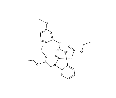 CCOC(=O)C[C@@]1(NC(=O)Nc2cccc(OC)c2)C(=O)N(CC(OCC)OCC)c2ccccc21